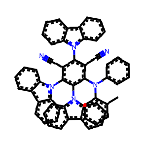 Cc1ccccc1N(c1ccccc1)c1c(C#N)c(-n2c3ccccc3c3ccccc32)c(C#N)c(-n2c3ccccc3c3ccccc32)c1-n1c2ccccc2c2ccccc21